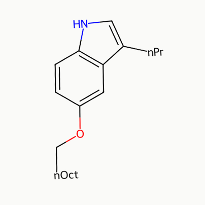 CCCCCCCCCOc1ccc2[nH]cc(CCC)c2c1